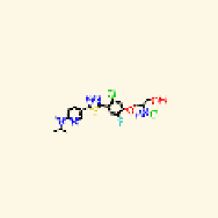 CC(C)N(C)c1ccc(-c2nnc(-c3cc(F)c(OCC(CO)NCl)cc3Cl)s2)cn1